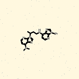 CC(C)n1cnc2c(NCCC(C)n3cnc4c(N(C)C)ccnc43)ccnc21